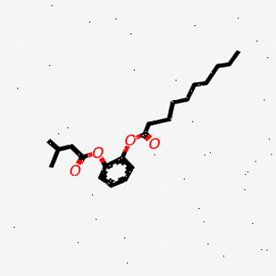 CCCCCCCCCC(=O)Oc1ccccc1OC(=O)CC(C)C